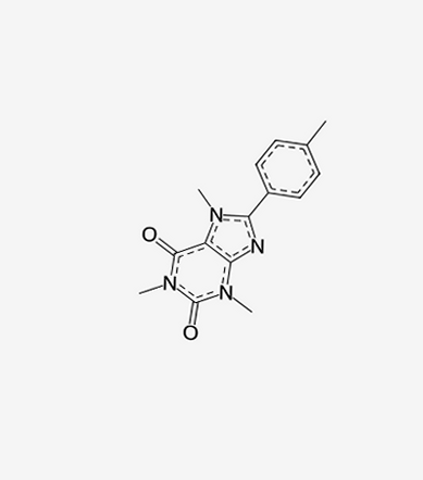 Cc1ccc(-c2nc3c(c(=O)n(C)c(=O)n3C)n2C)cc1